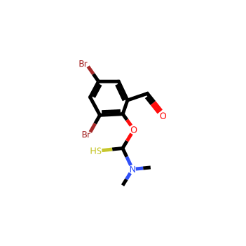 CN(C)C(S)Oc1c(Br)cc(Br)cc1C=O